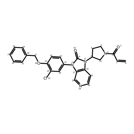 C=CC(=O)N1CCC(n2c(=O)n(-c3ccc(OCc4ccccc4)c(Cl)c3)c3cnccc32)C1